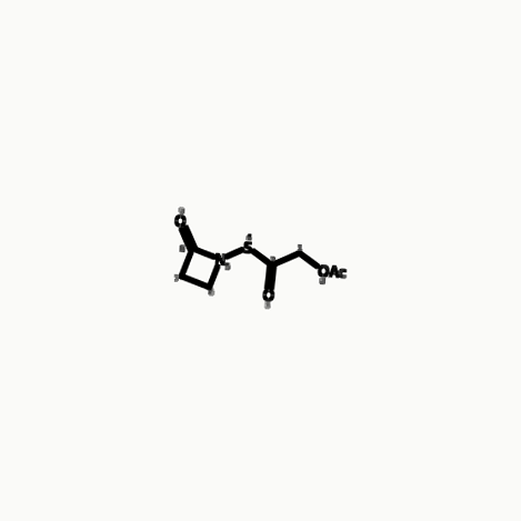 CC(=O)OCC(=O)SN1CCC1=O